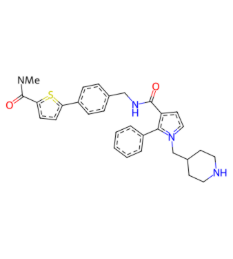 CNC(=O)c1ccc(-c2ccc(CNC(=O)c3ccn(CC4CCNCC4)c3-c3ccccc3)cc2)s1